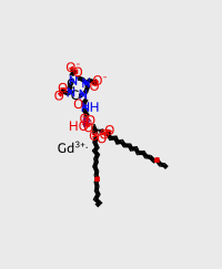 CCCCCCCCCCCCCCCCCC(=O)OC[C@H](COP(=O)(O)OCCNC(=O)CN1CCN(CC(=O)[O-])CCN(CC(=O)[O-])CCN(CC(=O)[O-])CC1)OC(=O)CCCCCCCCCCCCCCCCC.[Gd+3]